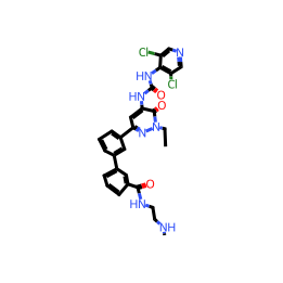 CCn1nc(-c2cccc(-c3cccc(C(=O)NCCNC)c3)c2)cc(NC(=O)Nc2c(Cl)cncc2Cl)c1=O